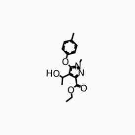 CCOC(=O)c1nn(C)c(Oc2ccc(C)cc2)c1C(C)O